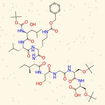 CC[C@H](C)[C@H](NC(=O)[C@@H](CCCNC(=O)OCc1ccccc1)NC(=O)[C@H](CC(C)C)NC(=O)[C@@H](NC(=O)OC(C)(C)C)[C@H](O)C(C)C)C(=O)N[C@H](C(=O)NCC(=O)N[C@@H](COC(C)(C)C)C(=O)N[C@@H](COC(C)(C)C)C(=O)O)[C@H](C)O